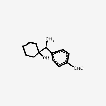 C[C@@H](c1ccc(C=O)cc1)C1(O)CCCCC1